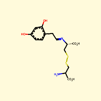 NC(CSSC[C@H](N=CCc1ccc(O)cc1O)C(=O)O)C(=O)O